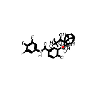 CC(C)(O)C(O)C(O)[C@]1(O)C2CC1C[C@@H](S(=O)(=O)c1cc(C(=O)Nc3cc(F)c(F)c(F)c3)ccc1Cl)C2